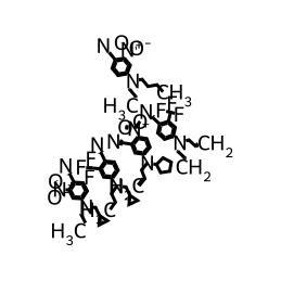 C=CCN(CC=C)c1ccc(C#N)c(C(F)(F)F)c1.C=CCN(c1ccc([N+](=O)[O-])c(C#N)c1)C1CCCC1.CCCCN(CCC)c1ccc(C#N)c([N+](=O)[O-])c1.CCCN(CC1CC1)c1ccc(C#N)c(C(F)(F)F)c1.CCCN(CC1CC1)c1ccc(C#N)c([N+](=O)[O-])c1